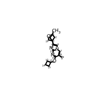 CC12CC(c3cn4cc(I)c(OC5CCC5)nc4n3)(CO1)C2